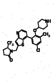 Cc1cc(Cl)cc(-c2ccnc3cc(CN4C(=O)CCC4C(F)(F)F)sc23)c1OC1CCNCC1